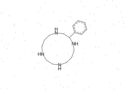 c1ccc(C2CNCCCNCCNCCCN2)cc1